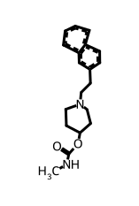 CNC(=O)OC1CCN(CCc2ccc3ccccc3c2)CC1